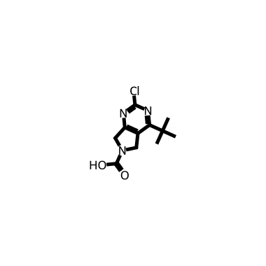 CC(C)(C)c1nc(Cl)nc2c1CN(C(=O)O)C2